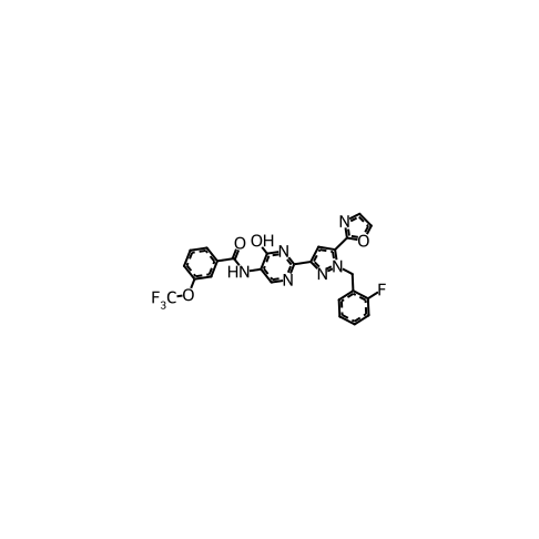 O=C(Nc1cnc(-c2cc(-c3ncco3)n(Cc3ccccc3F)n2)nc1O)c1cccc(OC(F)(F)F)c1